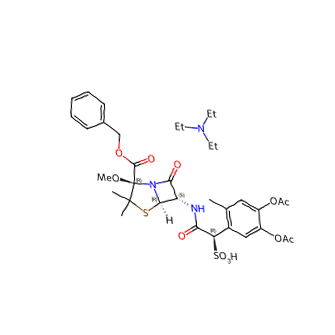 CCN(CC)CC.CO[C@@]1(C(=O)OCc2ccccc2)N2C(=O)[C@H](NC(=O)[C@@H](c3cc(OC(C)=O)c(OC(C)=O)cc3C)S(=O)(=O)O)[C@H]2SC1(C)C